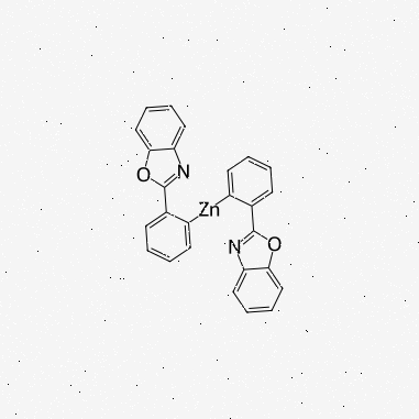 c1ccc(-c2nc3ccccc3o2)[c]([Zn][c]2ccccc2-c2nc3ccccc3o2)c1